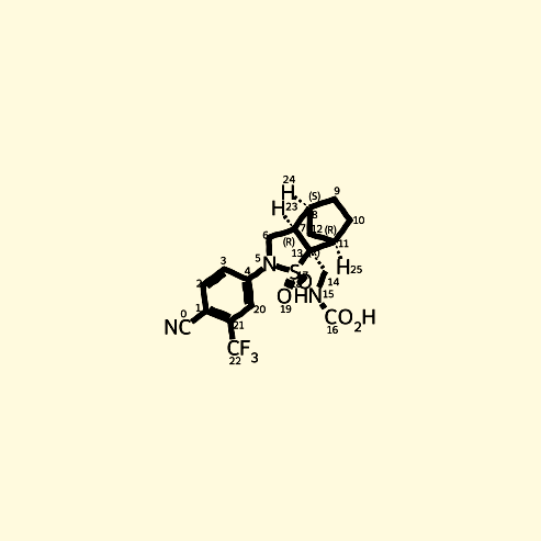 N#Cc1ccc(N2C[C@H]3[C@H]4CC[C@H](C4)[C@@]3(CNC(=O)O)S2(=O)=O)cc1C(F)(F)F